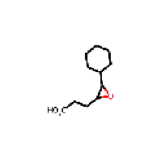 O=C(O)CCC1OC1C1CCCCC1